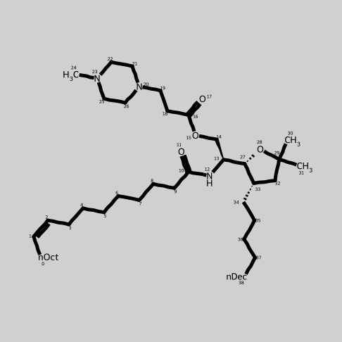 CCCCCCCC/C=C\CCCCCCCC(=O)N[C@@H](COC(=O)CCN1CCN(C)CC1)[C@@H]1OC(C)(C)C[C@@H]1CCCCCCCCCCCCCC